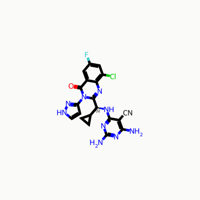 N#Cc1c(N)nc(N)nc1N[C@H](c1nc2c(Cl)cc(F)cc2c(=O)n1-c1cc[nH]n1)C1CC1